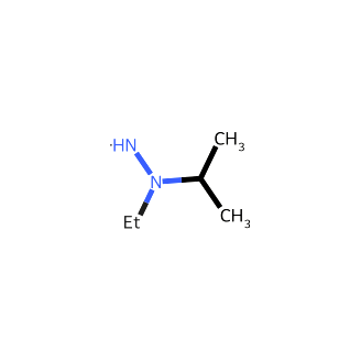 CCN([NH])C(C)C